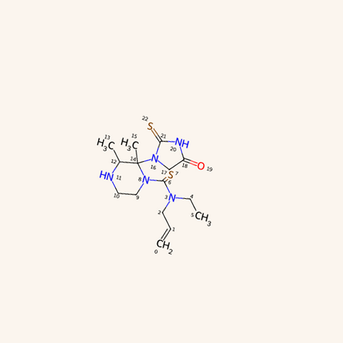 C=CCN(CC)C(=S)N1CCNC(C)C1(C)N1CC(=O)NC1=S